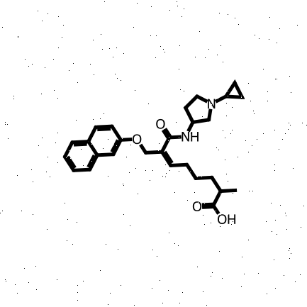 CC(CCCC=C(COc1ccc2ccccc2c1)C(=O)NC1CCN(C2CC2)C1)C(=O)O